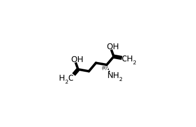 C=C(O)CC[C@@H](N)C(=C)O